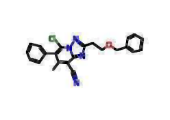 Cc1c(-c2ccccc2)c(Cl)n2nc(CCOCc3ccccc3)nc2c1C#N